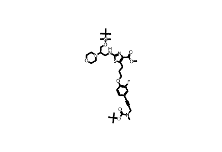 COC(=O)c1nc(NCC(CO[Si](C)(C)C(C)(C)C)N2CCOCC2)sc1CCCOc1ccc(C#CCN(C)C(=O)OC(C)(C)C)cc1F